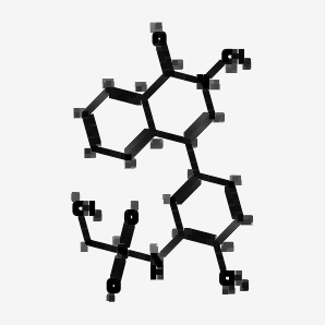 CCS(=O)(=O)Nc1cc(-c2cn(C)c(=O)c3ccccc23)ccc1C